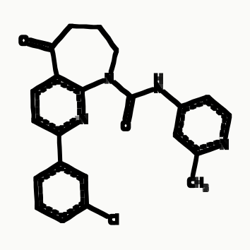 Cc1cc(NC(=O)N2CCCC(=O)c3ccc(-c4cccc(Cl)c4)nc32)ccn1